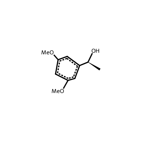 COc1cc(OC)cc([C@H](C)O)c1